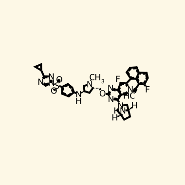 C#Cc1c(F)ccc2cccc(-c3ncc4c(N5C[C@H]6CC[C@@H](C5)N6)nc(OC[C@@H]5C[C@@H](Nc6ccc(S(=O)(=O)n7cnc(C8CC8)n7)cc6)CN5C)nc4c3F)c12